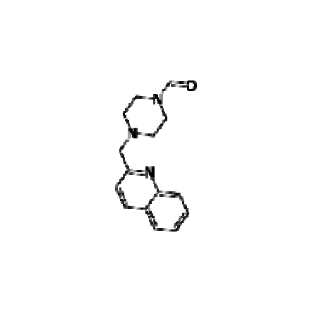 O=CN1CCN(Cc2ccc3ccccc3n2)CC1